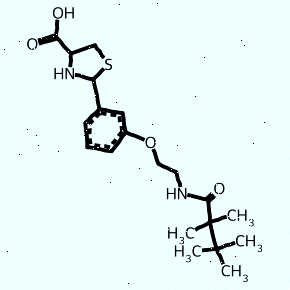 CC(C)(C)C(C)(C)C(=O)NCCOc1cccc(C2NC(C(=O)O)CS2)c1